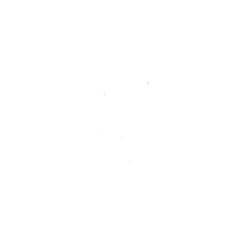 CC(C)c1cc(C(C)C)c(C(C)S(=O)(=O)N(C(=O)O)c2c(C(C)C)cccc2C(C)C)c(C(C)C)c1